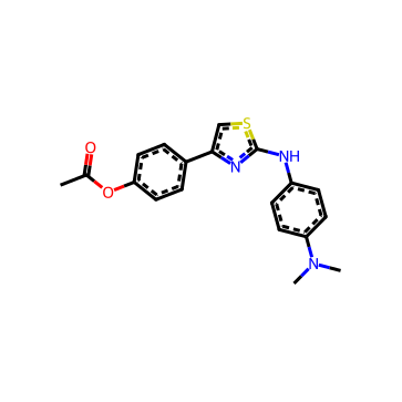 CC(=O)Oc1ccc(-c2csc(Nc3ccc(N(C)C)cc3)n2)cc1